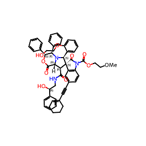 COCCOC(=O)N1C(=O)[C@@]2(c3cc(C#CC4=CCCCC4)ccc31)[C@H](c1ccccc1OCCO)N1[C@H](c3ccccc3)[C@H](c3ccccc3)OC(=O)[C@H]1[C@@H]2C(=O)NC[C@H](O)c1ccccc1